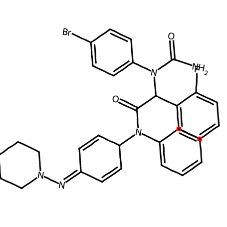 NC(=O)N(c1ccc(Br)cc1)C(C(=O)N(c1ccccc1)C1C=CC(=NN2CCCCC2)C=C1)c1ccccc1F